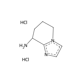 Cl.Cl.NC1CCCn2ccnc21